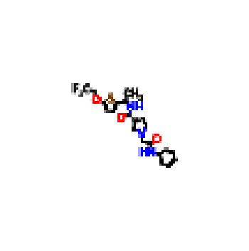 C[C@@H](NC(=O)[C@@H]1CCN(CC(=O)Nc2ccccc2)C1)c1ccc(OCC(F)(F)F)s1